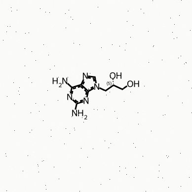 Nc1nc(N)c2ncn(C[C@H](O)CO)c2n1